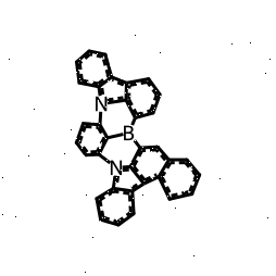 c1cc2c3c(c1)-n1c4ccccc4c4c5ccccc5cc(c41)B3c1cccc3c4ccccc4n-2c13